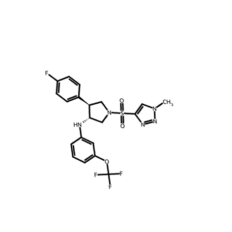 Cn1cc(S(=O)(=O)N2C[C@H](Nc3cccc(OC(F)(F)F)c3)[C@@H](c3ccc(F)cc3)C2)nn1